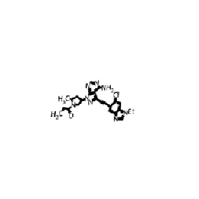 C=CC(=O)N1CC(n2nc(C#Cc3cc4ncn(CC)c4cc3Cl)c3c(N)ncnc32)C[C@@H]1C